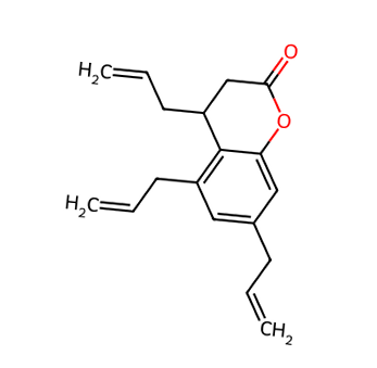 C=CCc1cc(CC=C)c2c(c1)OC(=O)CC2CC=C